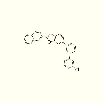 Clc1cccc(-c2cccc(-c3ccc4cc(-c5ccc6ccccc6c5)oc4c3)c2)c1